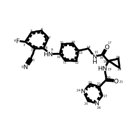 N#Cc1c(F)cccc1Nc1ccc(CNC(=O)C2(NC(=O)c3cncnc3)CC2)cc1